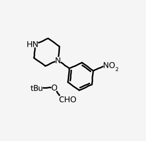 CC(C)(C)OC=O.O=[N+]([O-])c1cccc(N2CCNCC2)c1